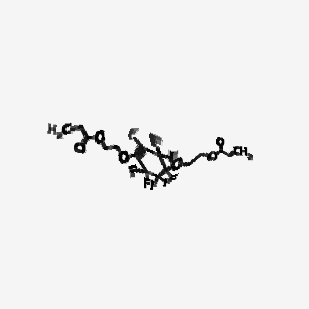 C=CC(=O)OCCOC1=C(F)C(F)(F)C(F)(OCCOC(=O)C=C)C(F)(F)C1(F)F